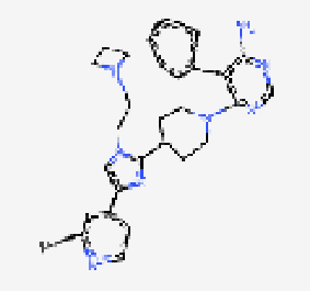 CC(C)c1cc(-c2cn(CCN3CCC3)c(C3CCN(c4ncnc(N)c4-c4ccccc4)CC3)n2)ccn1